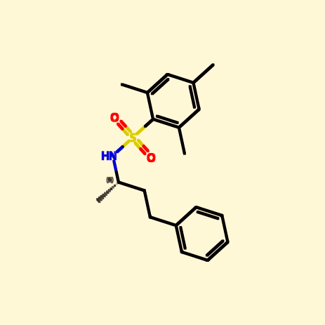 Cc1cc(C)c(S(=O)(=O)N[C@@H](C)CCc2ccccc2)c(C)c1